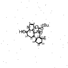 CC(C)(C)OC(=O)N[C@@H]1c2nccnc2[C@@H](O)CC[C@H]1c1cccc(F)c1F